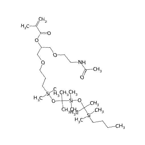 C=C(C)C(=O)OC(COCCC[Si](C)(C)OC(C)(C)[Si](C)(C)OC(C)(C)[Si](C)(C)CCCC)COCCNC(C)=O